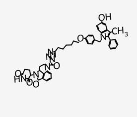 Cc1c(-c2ccccc2)n(Cc2ccc(OCCCCCCc3cn(C(=O)N4CCC5c6c(cccc64)C(=O)N5C4CCC(=O)NC4=O)nn3)cc2)c2ccc(O)cc12